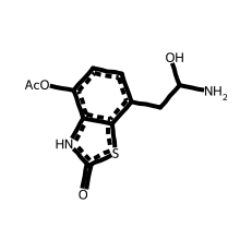 CC(=O)Oc1ccc(CC(N)O)c2sc(=O)[nH]c12